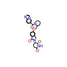 O=C1CCC(N2Cc3cc(OC[C@@H]4CCCCN4C(=O)c4ccc5nccn5c4)ccc3C2=O)C(=O)N1